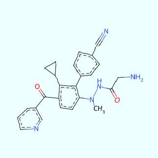 CN(NC(=O)CN)c1ccc(C(=O)c2cccnc2)c(C2CC2)c1-c1ccc(C#N)cc1